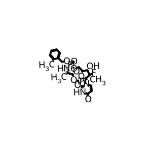 Cc1ccccc1CO[P@](=O)(N[C@@H](C)C(=O)OC(C)C)OCC1OC(n2ccc(=O)[nH]c2=O)C(C)(F)C1O